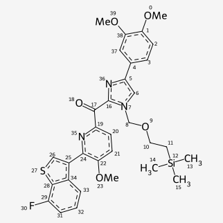 COc1ccc(-c2cn(COCC[Si](C)(C)C)c(C(=O)c3ccc(OC)c(-c4csc5c(F)cccc45)n3)n2)cc1OC